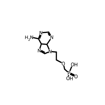 NC1=NC=NC2C1N=CN2CCOCP(=O)(O)O